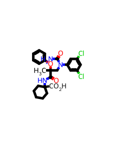 CC(CN(C(N)=O)c1cc(Cl)cc(Cl)c1)(Oc1ccccc1)C(=O)NC1(C(=O)O)CCCCC1